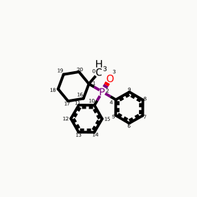 CC1(P(=O)(c2ccccc2)c2ccccc2)CCCCC1